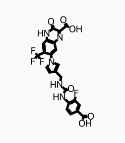 O=C(NCc1ccn(-c2cc3nc(C(=O)O)c(=O)[nH]c3cc2C(F)(F)F)c1)Nc1ccc(C(=O)O)cc1F